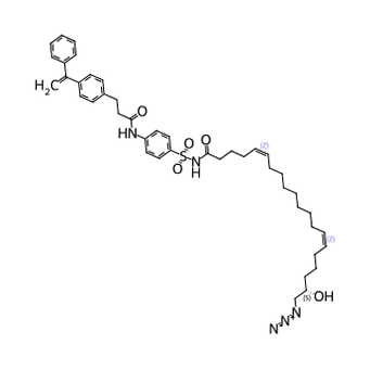 C=C(c1ccccc1)c1ccc(CCC(=O)Nc2ccc(S(=O)(=O)NC(=O)CCC/C=C\CCCCCCC/C=C\CCC[C@H](O)CN=[N+]=[N-])cc2)cc1